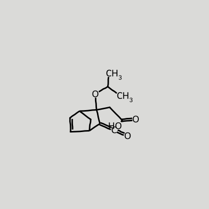 CC(C)OC1(CC(=O)O)C(=C=O)C2C=CC1C2